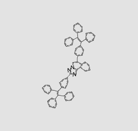 c1ccc(C(=C(c2ccccc2)c2ccc(-c3nc4c5ccccc5c(-c5ccc(C(=C(c6ccccc6)c6ccccc6)c6ccccc6)cc5)cn4n3)cc2)c2ccccc2)cc1